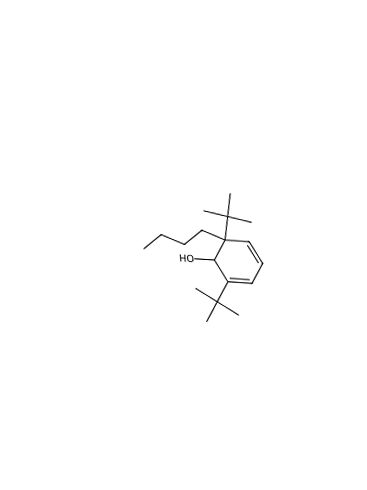 CCCCC1(C(C)(C)C)C=CC=C(C(C)(C)C)C1O